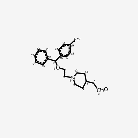 O=CCC1CCN(CCOC(c2ccccc2)c2ccc(F)cc2)CC1